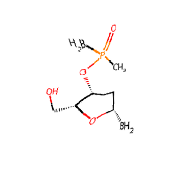 B[C@H]1C[C@@H](OP(B)(C)=O)[C@@H](CO)O1